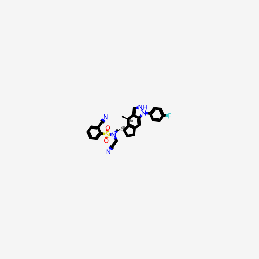 C[C@H]1C2=CNN(c3ccc(F)cc3)C2=CC2=C1[C@@H](CN(CC#N)S(=O)(=O)c1ccccc1C#N)CC2